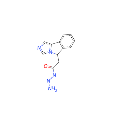 NN=NC(=O)CC1c2ccccc2-c2cncn21